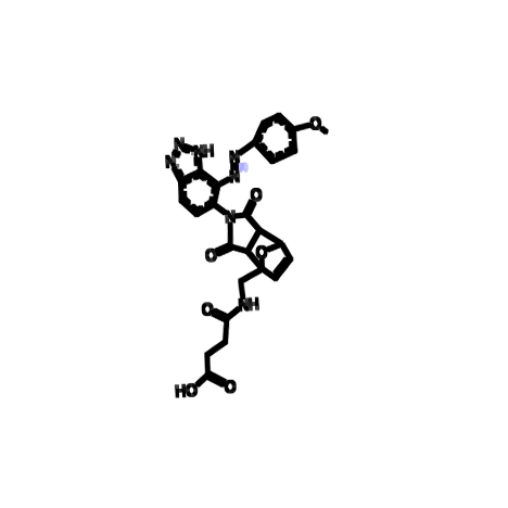 COc1ccc(/N=N/c2c(N3C(=O)C4C5C=CC(CNC(=O)CCC(=O)O)(O5)C4C3=O)ccc3nn[nH]c23)cc1